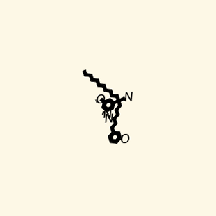 CCCCCCCCCCCC(C#N)(CCCC(CCc1cccc(OC)c1)/N=N/C)c1cccc(OC)c1